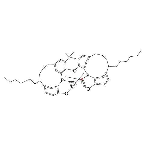 CCCCCCC1CCCc2cc(c3c(c2)C(C)(C)c2cc4cc(c2O3)P2c3cc(C)ccc3Oc3ccc(cc32)C(CCCCCC)CCC4)P2c3cc(C)ccc3Oc3ccc1cc32